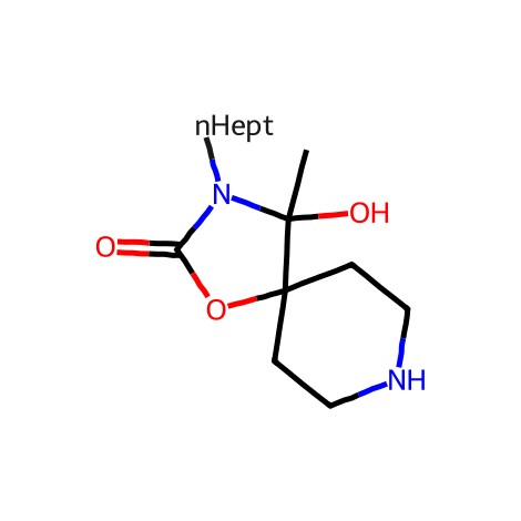 CCCCCCCN1C(=O)OC2(CCNCC2)C1(C)O